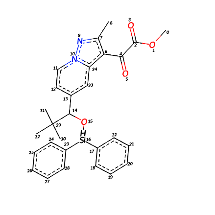 COC(=O)C(=O)c1c(C)nn2ccc(C(O[SiH](c3ccccc3)c3ccccc3)C(C)(C)C)cc12